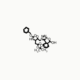 CC(C)(C)OC(=O)CC(NC(=O)OCc1ccccc1)C(=O)Cn1nnnc1-c1ccccc1C(=O)O